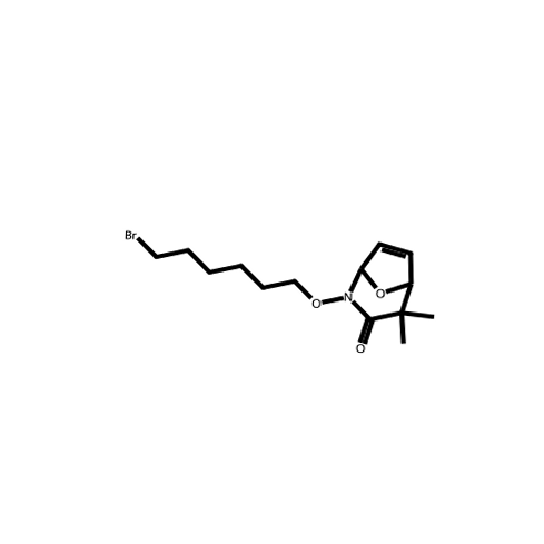 CC1(C)C(=O)N(OCCCCCCBr)C2C=CC1O2